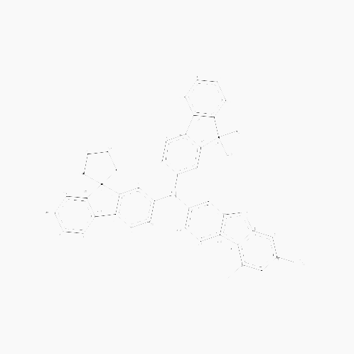 Cc1cc(C(C)(C)C)cc2oc3cc(N(c4ccc5c(c4)C(C)(C)c4ccccc4-5)c4ccc5c(c4)C4(CCCC4)c4ccccc4-5)ccc3c12